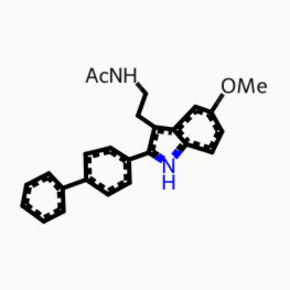 COc1ccc2[nH]c(-c3ccc(-c4ccccc4)cc3)c(CCNC(C)=O)c2c1